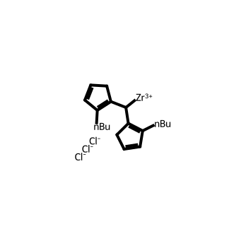 CCCCC1=C([CH]([Zr+3])C2=C(CCCC)C=CC2)CC=C1.[Cl-].[Cl-].[Cl-]